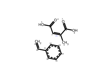 C/C(=C/C(=O)O)C(=O)O.C=Cc1ccccc1